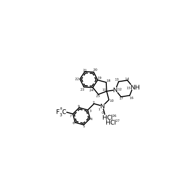 CN(Cc1cccc(C(F)(F)F)c1)CC1(N2CCNCC2)Cc2ccccc2C1.Cl.Cl